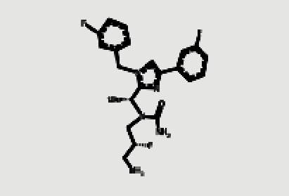 CC(C)(C)[C@H](c1nc(-c2cccc(F)c2)cn1Cc1cccc(F)c1)N(C[C@H](F)CN)C(N)=O